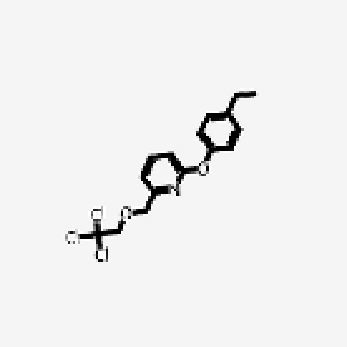 CCc1ccc(Oc2cccc(COCC(Cl)(Cl)Cl)n2)cc1